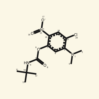 CN(C)c1cc(OC(=O)NC(C)(C)C)c([N+](=O)[O-])cc1Cl